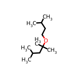 CC(C)CCOC(C)(C)CC(C)C